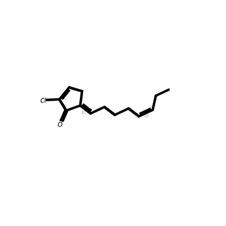 CC/C=C\CCC/C=C1\CC=C(Cl)C1=O